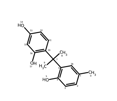 Cc1ccc(O)c(C(C)(C)c2ccc(O)cc2O)c1